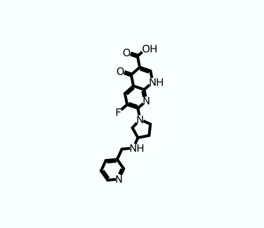 O=C(O)c1c[nH]c2nc(N3CCC(NCc4cccnc4)C3)c(F)cc2c1=O